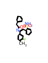 Cc1ccc(-c2nc(Cc3ccccc3)oc2-c2ccccc2S(N)(=O)=O)cc1F